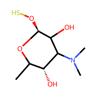 CC1O[C@@H](OS)C(O)C(N(C)C)[C@@H]1O